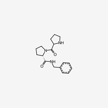 O=C(NCc1ccccc1)[C@@H]1CCCN1C(=O)C1CCCN1